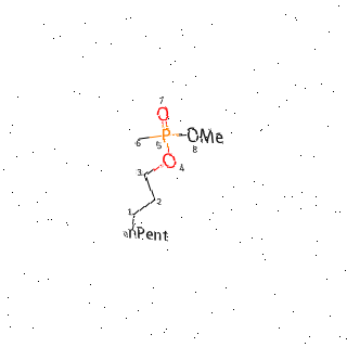 CCCCCCCCOP(C)(=O)OC